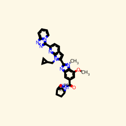 COc1cc(C(=O)N2CC3CCC2[C@@H]3N)cc2nc(-c3cc4ccc(-c5nnc6ccccn56)nc4n3CC3CC3)n(C)c12